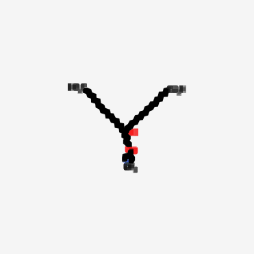 CN1CCC(C(=O)OCCCCC(O)(CCCCCCCCCCCCCCCCCC(=O)O)CCCCCCCCCCCCCCCCCC(=O)O)CC1